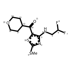 CSc1nc(NCC(F)F)c(C(=O)C2CCOCC2)s1